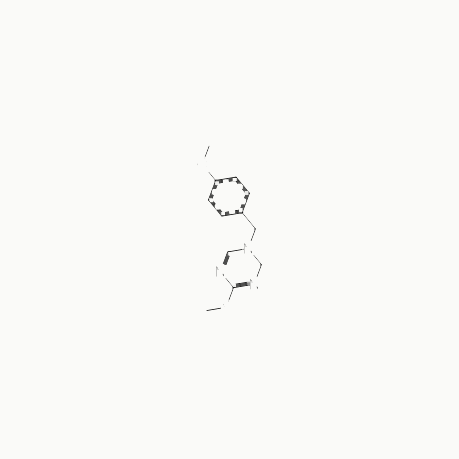 COc1ccc(CN2C=NC(SC)=NC2)cc1